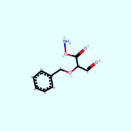 NOC(=O)C(C=O)OCc1ccccc1